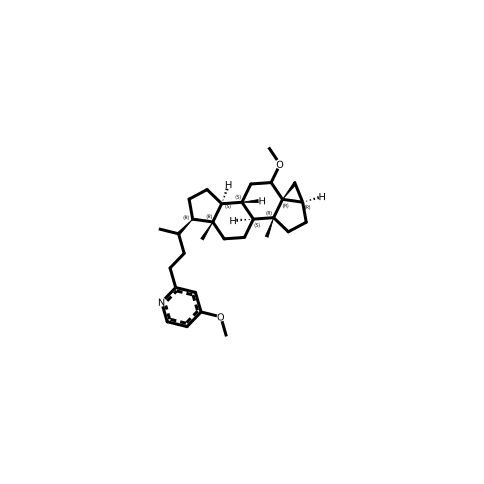 COc1ccnc(CCC(C)[C@H]2CC[C@H]3[C@@H]4CC(OC)[C@]56C[C@H]5CC[C@]6(C)[C@H]4CC[C@]23C)c1